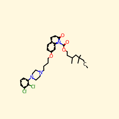 CCCC(C)(C)CC(C)CCOC(=O)n1c(=O)ccc2ccc(OCCCCN3CCN(c4cccc(Cl)c4Cl)CC3)cc21